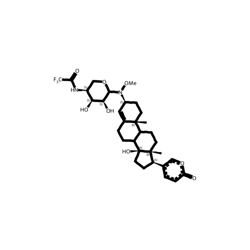 CON(C1OC[C@H](NC(=O)C(F)(F)F)[C@H](O)[C@@H]1O)[C@@H]1C=C2CCC3C(CC[C@]4(C)[C@@H](c5ccc(=O)oc5)CC[C@]34O)[C@@]2(C)CC1